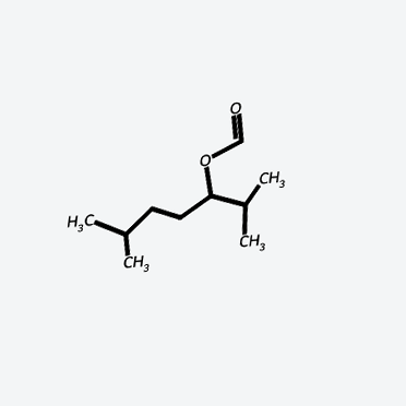 CC(C)CCC(OC=O)C(C)C